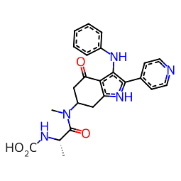 C[C@H](NC(=O)O)C(=O)N(C)C1CC(=O)c2c([nH]c(-c3ccncc3)c2Nc2ccccc2)C1